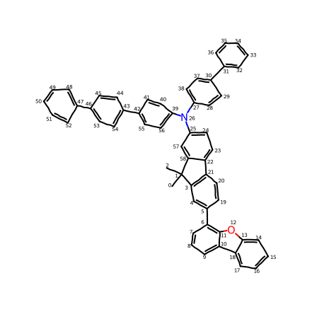 CC1(C)c2cc(-c3cccc4c3oc3ccccc34)ccc2-c2ccc(N(c3ccc(-c4ccccc4)cc3)c3ccc(-c4ccc(-c5ccccc5)cc4)cc3)cc21